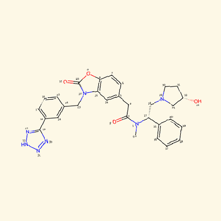 CN(C(=O)Cc1ccc2oc(=O)n(Cc3cccc(-c4nn[nH]n4)c3)c2c1)[C@H](CN1CC[C@H](O)C1)c1ccccc1